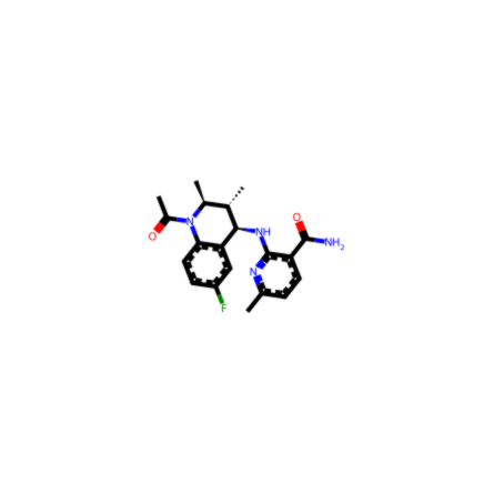 CC(=O)N1c2ccc(F)cc2[C@H](Nc2nc(C)ccc2C(N)=O)[C@@H](C)[C@@H]1C